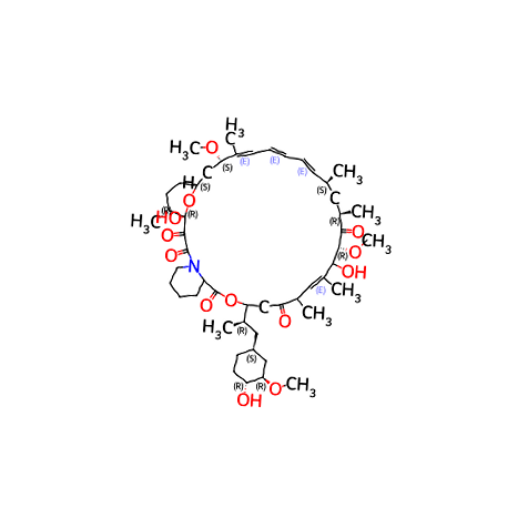 CO[C@H]1C[C@@H]2CC[C@@H](C)[C@@](O)(O2)C(=O)C(=O)N2CCCCC2C(=O)OC([C@H](C)C[C@@H]2CC[C@@H](O)[C@H](OC)C2)CC(=O)C(C)/C=C(\C)C(O)[C@@H](OC)C(=O)[C@H](C)C[C@H](C)/C=C/C=C/C=C/1C